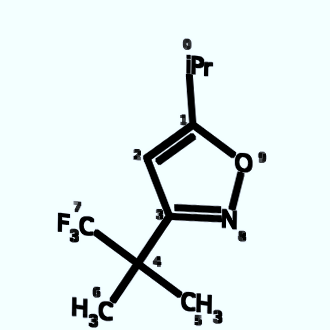 CC(C)c1cc(C(C)(C)C(F)(F)F)no1